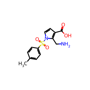 Cc1ccc(S(=O)(=O)n2ccc(C(=O)O)c2CN)cc1